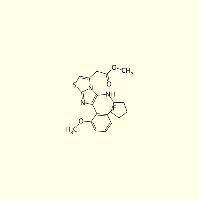 COC(=O)Cc1csc2nc(-c3c(F)cccc3OC)c(NC3CCCC3)n12